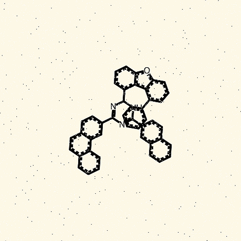 c1ccc(-c2cccc3oc4cccc(C5N=C(c6ccc7ccc8ccccc8c7c6)N=C(c6ccc7ccccc7c6)N5)c4c23)cc1